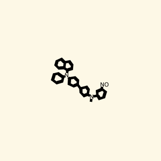 CN(c1ccc(-c2ccc(N(c3ccccc3)c3cccc4ccccc34)cc2)cc1)c1cccc(N=O)c1